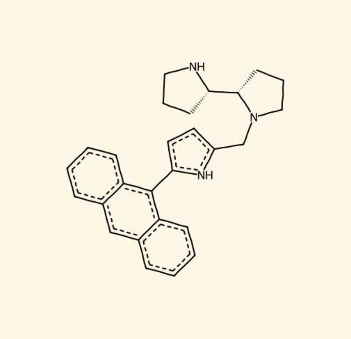 c1ccc2c(-c3ccc(CN4CCC[C@H]4[C@@H]4CCCN4)[nH]3)c3ccccc3cc2c1